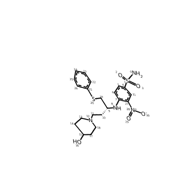 NS(=O)(=O)c1ccc(N[C@H](CCN2CCC(O)CC2)CSc2ccccc2)c([N+](=O)[O-])c1